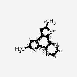 Cc1cc2c3cc(C)sc3c3nccnc3c2s1